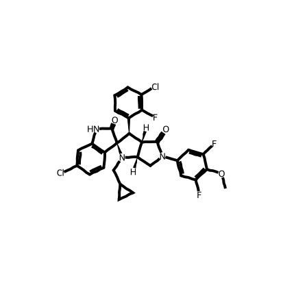 COc1c(F)cc(N2C[C@H]3[C@@H](C2=O)[C@H](c2cccc(Cl)c2F)[C@]2(C(=O)Nc4cc(Cl)ccc42)N3CC2CC2)cc1F